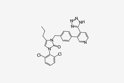 CCCc1cn(-c2c(Cl)cccc2Cl)c(=O)n1Cc1ccc(-c2cnccc2-c2nnn[nH]2)cc1